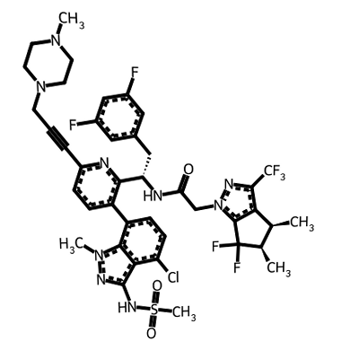 C[C@@H]1c2c(C(F)(F)F)nn(CC(=O)N[C@@H](Cc3cc(F)cc(F)c3)c3nc(C#CCN4CCN(C)CC4)ccc3-c3ccc(Cl)c4c(NS(C)(=O)=O)nn(C)c34)c2C(F)(F)[C@@H]1C